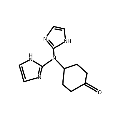 O=C1CCC(N(c2ncc[nH]2)c2ncc[nH]2)CC1